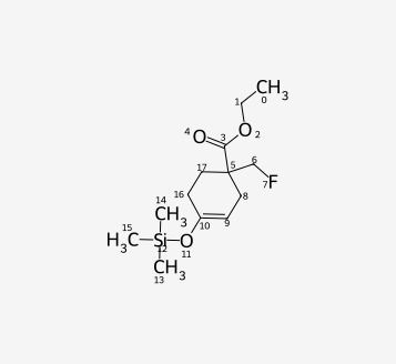 CCOC(=O)C1(CF)CC=C(O[Si](C)(C)C)CC1